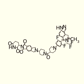 C[C@@H]1Cc2c(ccc3[nH]ncc23)[C@@H](c2c(F)cc(N3CCC(C(=O)N4CCC(N5Cc6cc7c(cc6C5)C(=O)N(C5CCC(=O)NC5=O)C7=O)CC4)CC3)cc2F)N1CC(F)F